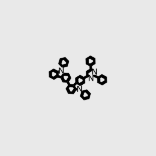 c1ccc(-c2cc(-c3ccc4c5c(-c6ccc7c(c6)c6ccccc6n7-c6ccccc6)cccc5n(-c5ccccc5)c4c3)nc(-c3ccccc3)n2)cc1